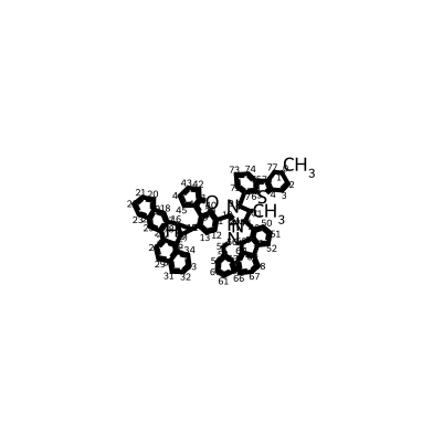 CC1C=Cc2sc3c(C4=NC(c5ccc(C6C7c8cc9ccccc9cc8-c8ccc9ccccc9c8[C@@H]76)c6c5oc5ccccc56)=NC(c5cccc6c5C(NCc5ccccc5)c5ccccc5-6)C4C)cccc3c2C1